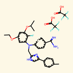 CCOc1cc(OC(C)C)c(F)c(N(Cc2nc(-c3ccc(C)cc3)c[nH]2)c2ccc(C(=N)N)cc2)c1.O=C(O)C(F)(F)F.O=C(O)C(F)(F)F